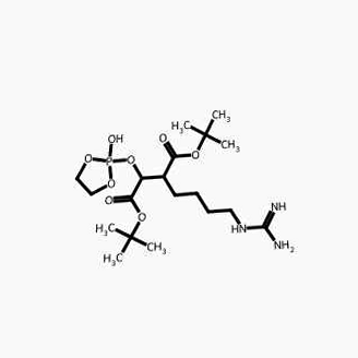 CC(C)(C)OC(=O)C(CCCCNC(=N)N)C(O[P]1(O)OCCO1)C(=O)OC(C)(C)C